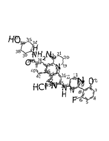 COc1cccc(F)c1-c1nccc(Nc2cc(N3CCC[C@H](N)C3)c(-c3ccc(C(=O)NC4CCC(O)CC4)cc3)cn2)n1.Cl